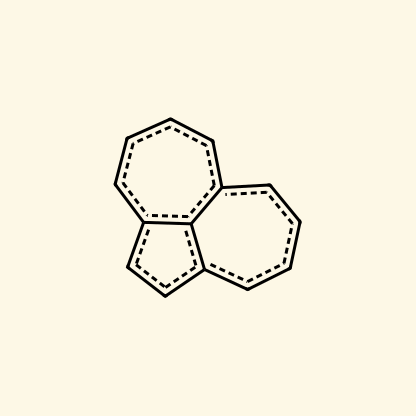 c1ccc2ccc3ccccc(c1)c23